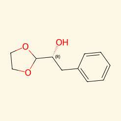 O[C@H](Cc1ccccc1)C1OCCO1